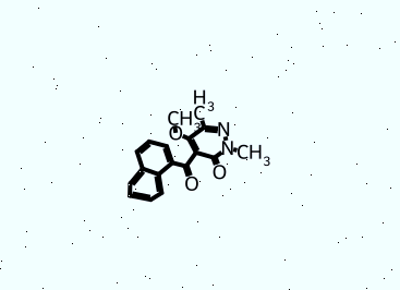 COc1c(C)nn(C)c(=O)c1C(=O)c1cccc2ccccc12